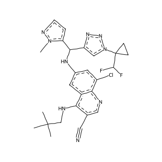 Cn1nccc1C(Nc1cc(Cl)c2ncc(C#N)c(NCC(C)(C)C)c2c1)c1cn(C2(C(F)F)CC2)nn1